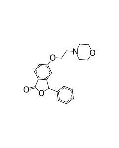 O=C1OC(c2ccccc2)c2cc(OCCN3CCOCC3)ccc21